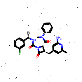 CC[C@@H](NC(=O)N1C(=O)[C@H](Cc2cc(C)nc(N)c2)[C@H]1C(=O)N(C)c1ccccc1)c1cccc(Cl)c1